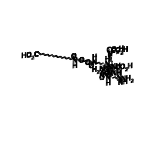 CC(=O)N1CCC[C@H]1C(=O)N[C@@H](CCCNC(=N)N)C(=O)N[C@@H](CC(=O)O)C(=O)N[C@@H](CCCCN(CC(=O)O)CC(=O)O)C(=O)N[C@@H](CCCCNC(=O)COCCOCCNC(=O)CCCCCCCCCCCCCCCCC(=O)O)C(N)=O